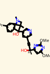 COc1cc([C@](C)(O)C#Cc2cncc([C@@](O)(c3ccc(C(C)C)cc3)C3(C)CN(C)C3)c2)nc(OC)n1